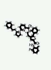 Cc1cccc(F)c1NC(=O)c1cc2c(s1)-c1ccccc1N(C(=O)c1cccc(N3CCC[C@H]3CCc3ccccc3)n1)CC2